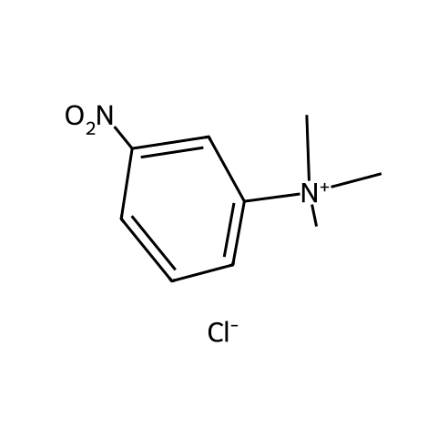 C[N+](C)(C)c1cccc([N+](=O)[O-])c1.[Cl-]